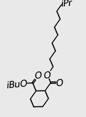 CC(C)CCCCCCCCOC(=O)C1CCCCC1C(=O)OCC(C)C